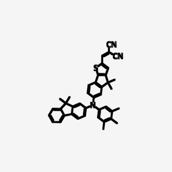 Cc1cc(N(c2ccc3c(c2)C(C)(C)c2ccccc2-3)c2ccc3c(c2)C(C)(C)c2cc(C=C(C#N)C#N)sc2-3)cc(C)c1C